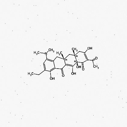 CCc1cc(N(C)C)c2c(c1O)C(=O)C1=C(O)[C@@]3(O)C(=O)C(C(C)=O)=C(O)C[C@@]3(C)C[C@@]1(C)C2